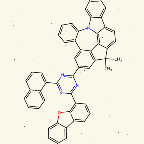 CC1(C)c2cc(-c3nc(-c4cccc5ccccc45)nc(-c4cccc5c4oc4ccccc45)n3)cc3c2-c2c1ccc1c4ccccc4n(c21)-c1ccccc1-3